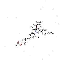 C=CC(=O)Oc1ccc(C=Cc2ccc(N(C=C(c3ccc(OC)cc3)c3ccc(OC)cc3)c3ccccc3)cc2)cc1